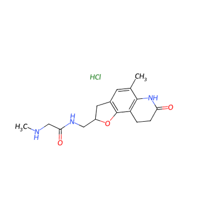 CNCC(=O)NCC1Cc2cc(C)c3c(c2O1)CCC(=O)N3.Cl